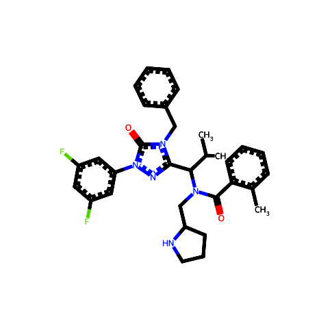 Cc1ccccc1C(=O)N(CC1CCCN1)C(c1nn(-c2cc(F)cc(F)c2)c(=O)n1Cc1ccccc1)C(C)C